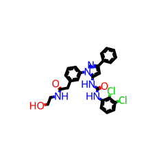 O=C(Cc1cccc(-n2nc(-c3ccccc3)cc2NC(=O)Nc2cccc(Cl)c2Cl)c1)NCCO